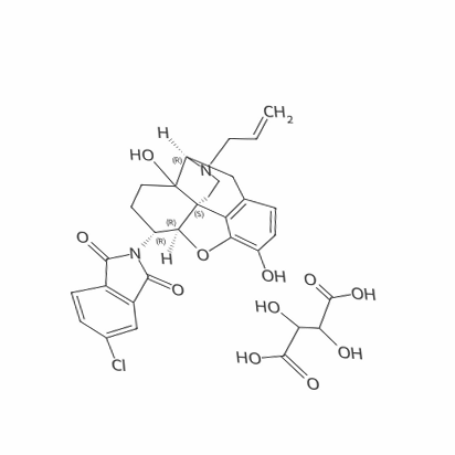 C=CCN1CC[C@]23c4c5ccc(O)c4O[C@H]2[C@H](N2C(=O)c4ccc(Cl)cc4C2=O)CCC3(O)[C@H]1C5.O=C(O)C(O)C(O)C(=O)O